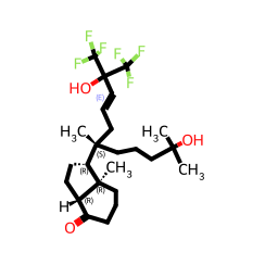 CC(C)(O)CCC[C@@](C)(C/C=C/C(O)(C(F)(F)F)C(F)(F)F)[C@H]1CC[C@H]2C(=O)CCC[C@]12C